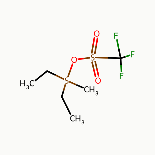 CCS(C)(CC)OS(=O)(=O)C(F)(F)F